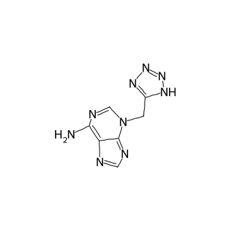 Nc1ncn(Cc2nnn[nH]2)c2ncnc1-2